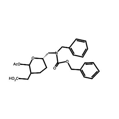 CC(=O)OC1O[C@H](CN(Cc2ccccc2)C(=O)OCc2ccccc2)CCC1CC(=O)O